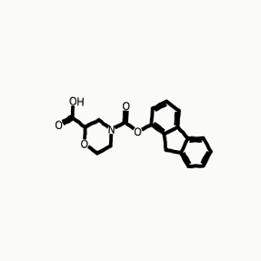 O=C(O)C1CN(C(=O)Oc2cccc3c2Cc2ccccc2-3)CCO1